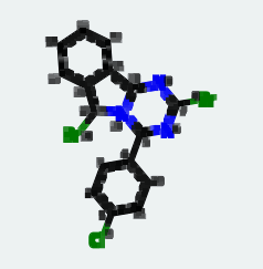 Clc1ccc(-c2nc(Br)nc3c4ccccc4c(Br)n23)cc1